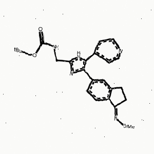 CON=C1CCc2cc(-c3nc(CNC(=O)OC(C)(C)C)[nH]c3-c3ccncc3)ccc21